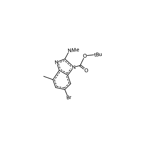 CNc1nc2c(C)cc(Br)cc2n1C(=O)OC(C)(C)C